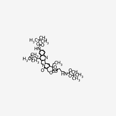 CCC1(OC(=O)CCCNC(=O)OC(C)(C)C)C(=O)OCc2c1cc1n(c2=O)Cc2c-1nc1ccc(NC(=O)OC(C)(C)C)cc1c2CC[Si](C)(C)C